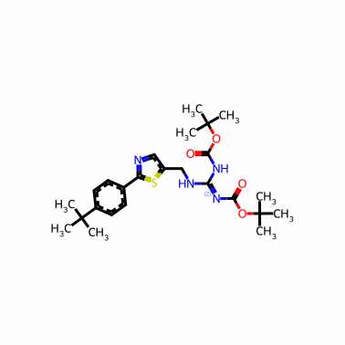 CC(C)(C)OC(=O)/N=C(/NCc1cnc(-c2ccc(C(C)(C)C)cc2)s1)NC(=O)OC(C)(C)C